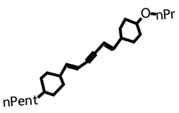 CCCCCC1CCC(C=CC#CC=CC2CCC(OCCC)CC2)CC1